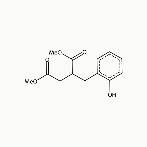 COC(=O)CC(Cc1ccccc1O)C(=O)OC